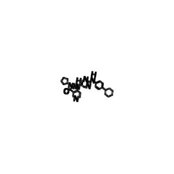 O=C(NC1CCCC1)c1cnccc1Nc1cnc(Nc2ccc(C3CCCCC3)cc2)nc1